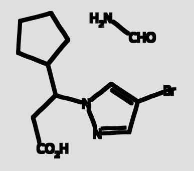 NC=O.O=C(O)CC(C1CCCC1)n1cc(Br)cn1